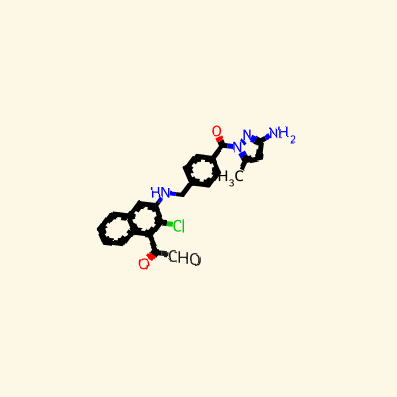 Cc1cc(N)nn1C(=O)c1ccc(CNc2cc3ccccc3c(C(=O)C=O)c2Cl)cc1